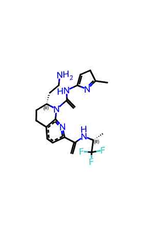 C=C(N[C@H](C)C(F)(F)F)c1ccc2c(n1)N(C(=C)NC1=CCC(C)=N1)[C@@H](CCN)CC2